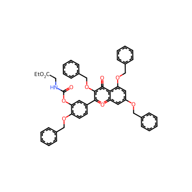 CCOC(=O)CNC(=O)Oc1cc(-c2oc3cc(OCc4ccccc4)cc(OCc4ccccc4)c3c(=O)c2OCc2ccccc2)ccc1OCc1ccccc1